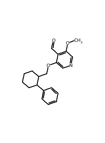 COc1cncc(OCC2CCCCC2c2ccccc2)c1C=O